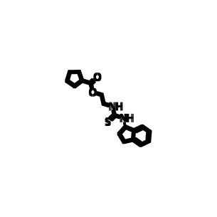 O=C(OCCNC(=S)N[C@H]1CCc2ccccc21)C1CCCC1